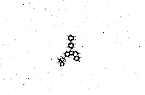 CCC1(CC)OB(c2ccc3c(c2)c2c4ccccc4ccc2n3-c2ccc(-c3ccccc3)cc2)OC1(C)C